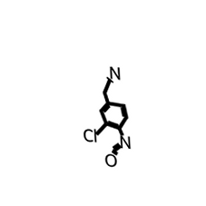 N#CCc1ccc(N=C=O)c(Cl)c1